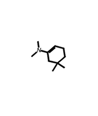 CN(C)C1=CCCC(C)(C)C1